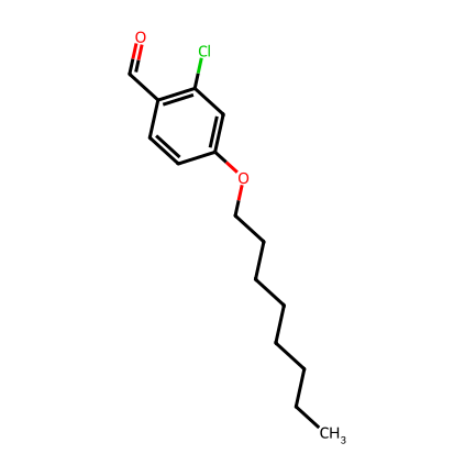 CCCCCCCCOc1ccc(C=O)c(Cl)c1